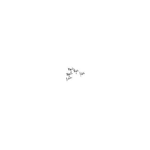 [La+3].[La+3].[Te-2].[Te-2].[Te-2]